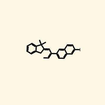 C/C=C(\C=C1/Cc2ccccc2C1(C)C)c1ccc2cc(I)ccc2c1